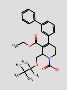 CCOC(=O)C1=C(c2cccc(-c3ccccc3)c2)CCN(C(=O)O)C1CO[Si](C)(C)C(C)(C)C